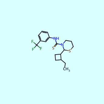 CCC1CCC1C1SCCCN1C(=S)Nc1cccc(C(F)(F)F)c1